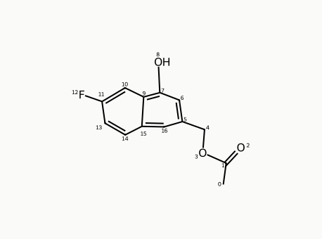 CC(=O)OCc1cc(O)c2cc(F)ccc2c1